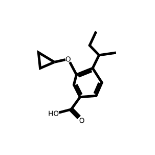 CCC(C)c1ccc(C(=O)O)cc1OC1CC1